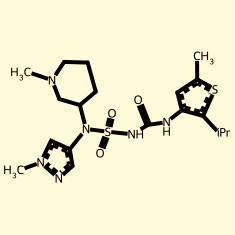 Cc1cc(NC(=O)NS(=O)(=O)N(c2cnn(C)c2)C2CCCN(C)C2)c(C(C)C)s1